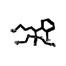 CCCCC(c1ccccc1O)P(=O)(OCC)OCC